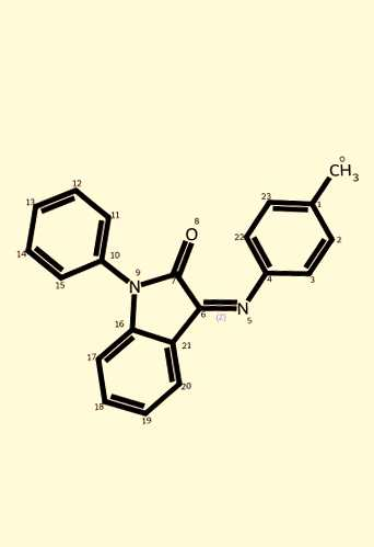 Cc1ccc(/N=C2\C(=O)N(c3ccccc3)c3ccccc32)cc1